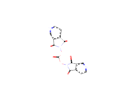 O=C(ON1C(=O)c2ccncc2C1=O)ON1C(=O)c2ccncc2C1=O